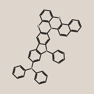 c1ccc(N(c2ccccc2)c2ccc3c4cc5c(cc4n(-c4ccccc4)c3c2)B2c3ccc4ccccc4c3Oc3cccc(c32)O5)cc1